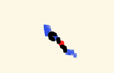 [N-]=[N+]=NC1CCN(CCOCCCN)CC1